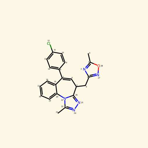 Cc1nc(CC2C=C(c3ccc(Cl)cc3)c3ccccc3-n3c(C)nnc32)no1